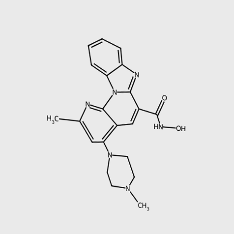 Cc1cc(N2CCN(C)CC2)c2cc(C(=O)NO)c3nc4ccccc4n3c2n1